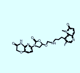 Cn1c(=O)ccc2ncc(F)c(CCCNCOC3CN(c4ccc5c(n4)NC(=O)CO5)C(=O)O3)c21